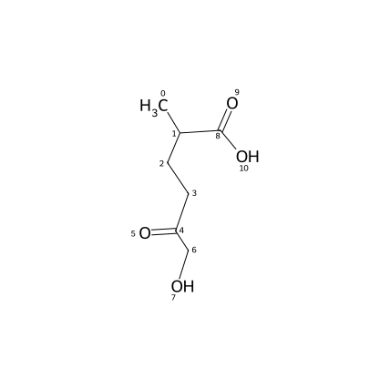 CC(CCC(=O)CO)C(=O)O